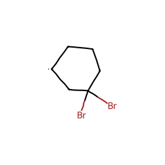 BrC1(Br)C[CH]CCC1